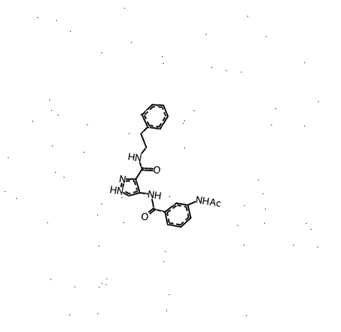 CC(=O)Nc1cccc(C(=O)Nc2c[nH]nc2C(=O)NCCc2ccccc2)c1